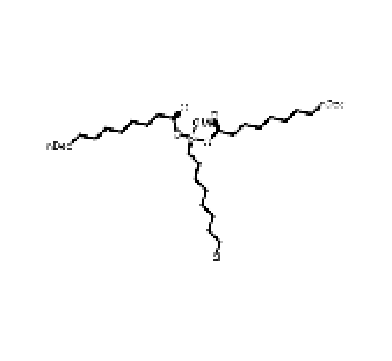 CCCCCCCCCCCCCCCCCC(=O)O[Si](CCCCCCCCS)(OC)OC(=O)CCCCCCCCCCCCCCCCC